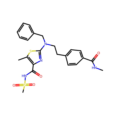 CNC(=O)c1ccc(CCN(Cc2ccccc2)c2nc(C(=O)NS(C)(=O)=O)c(C)s2)cc1